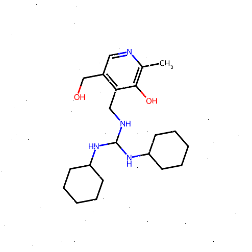 Cc1ncc(CO)c(CNC(NC2CCCCC2)NC2CCCCC2)c1O